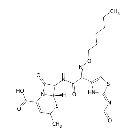 CCCCCCON=C(C(=O)NC1C(=O)N2C(C(=O)O)=CC(C)S[C@@H]12)c1csc(=NC=O)[nH]1